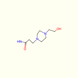 [NH]C(=O)CCN1CCN(CCO)CC1